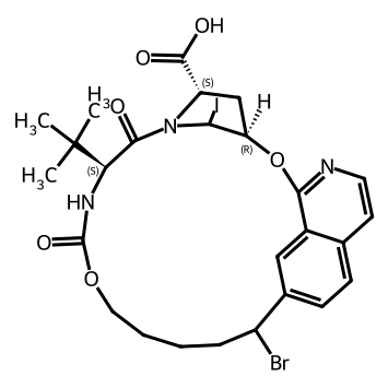 CC(C)(C)[C@@H]1NC(=O)OCCCCC(Br)c2ccc3ccnc(c3c2)O[C@@H]2C[C@@H](C(=O)O)N(C1=O)C2I